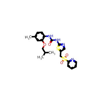 Cc1ccc(NC(=O)Nc2ncc(CS(=O)(=O)c3ccccn3)s2)c(OCC(C)C)c1